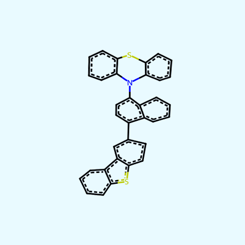 c1ccc2c(c1)Sc1ccccc1N2c1ccc(-c2ccc3sc4ccccc4c3c2)c2ccccc12